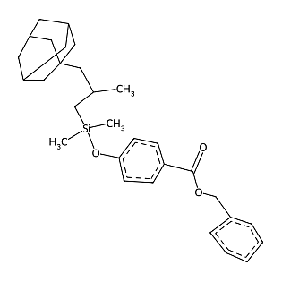 CC(CC12CC3CC(CC(C3)C1)C2)C[Si](C)(C)Oc1ccc(C(=O)OCc2ccccc2)cc1